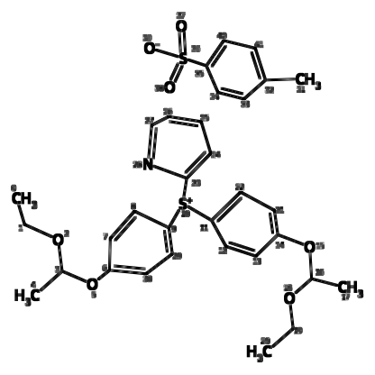 CCOC(C)Oc1ccc([S+](c2ccc(OC(C)OCC)cc2)c2ccccn2)cc1.Cc1ccc(S(=O)(=O)[O-])cc1